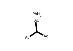 CC(=O)C(C(C)=O)C(C)=O.[PbH2]